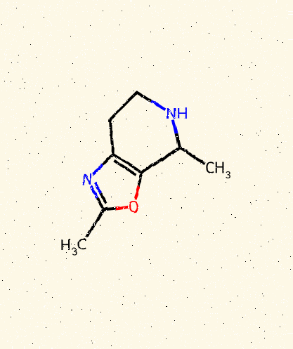 Cc1nc2c(o1)C(C)NCC2